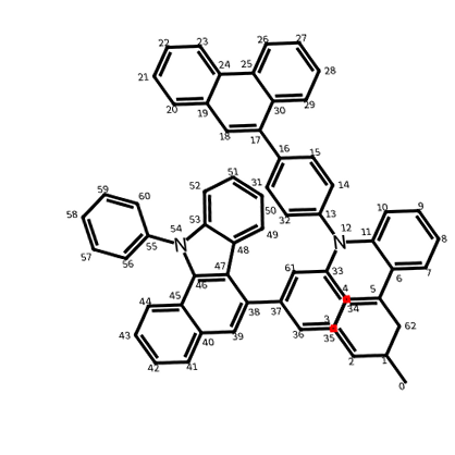 CC1C=CC=C(c2ccccc2N(c2ccc(-c3cc4ccccc4c4ccccc34)cc2)c2cccc(-c3cc4ccccc4c4c3c3ccccc3n4-c3ccccc3)c2)C1